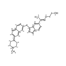 C/C(=N\OCCO)c1ccc2nnc(Cc3ccc4ncc(N5CCN(C)CC5)cc4c3)n2n1